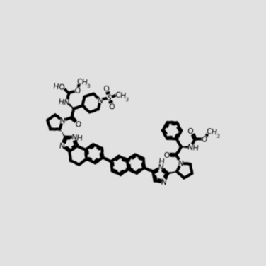 COC(=O)N[C@@H](C(=O)N1CCC[C@H]1c1ncc(-c2ccc3cc(-c4ccc5c(c4)CCc4nc([C@@H]6CCCN6C(=O)[C@@H](NC(O)OC)C6CCN(S(C)(=O)=O)CC6)[nH]c4-5)ccc3c2)[nH]1)c1ccccc1